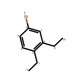 CCc1[c]cc(Br)cc1CC